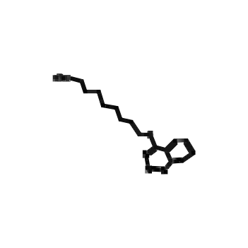 CCCCCCCCCCCCCCCCCCSc1nnnc2ccccc12